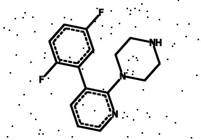 Fc1ccc(F)c(-c2cccnc2N2CCNCC2)c1